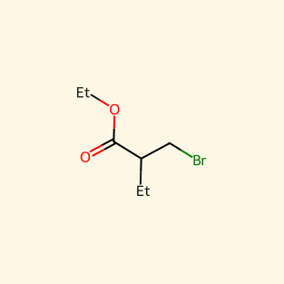 CCOC(=O)C(CC)CBr